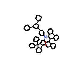 c1ccc(-c2cc(-c3ccccc3)cc(-c3ccc(N(c4ccc5c(c4)C(c4ccccc4)(c4ccccc4)c4ccccc4-5)c4c(-c5cccc6ccccc56)c5ccccc5c5ccccc45)cc3)c2)cc1